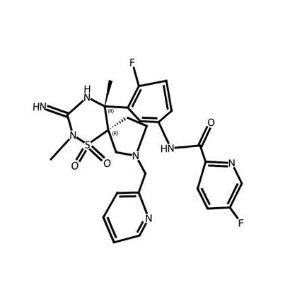 CN1C(=N)N[C@](C)(c2cc(NC(=O)c3ccc(F)cn3)ccc2F)[C@]2(CCN(Cc3ccccn3)C2)S1(=O)=O